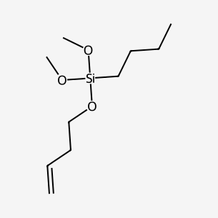 C=CCCO[Si](CCCC)(OC)OC